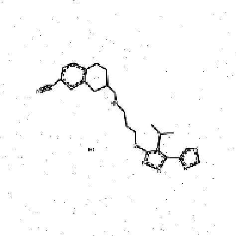 CC(C)n1c(SCCCNCC2CCc3ccc(C#N)cc3C2)nnc1-c1cscn1.Cl